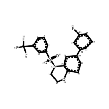 O=S(=O)(c1cccc(C(F)(F)F)c1)N1CCOc2ccc(-c3cccc(F)c3)cc21